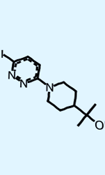 CC(C)(O)C1CCN(c2ccc(I)nn2)CC1